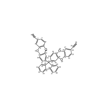 C#Cc1ccc2c(c1)Oc1ccc(C3(c4ccc5c(c4)Oc4ccc(C#C)cc4O5)c4ccccc4-c4ccccc43)cc1O2